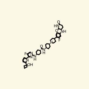 O=C1CCC(Nc2ccc(C3CCN([C@H]4CC[C@H](NC(=O)[C@H]5CC[C@H](Nc6ncc(F)c(-c7cccc(C8(O)CCC8)n7)n6)CC5)CC4)CC3)c(F)c2)C(=O)N1